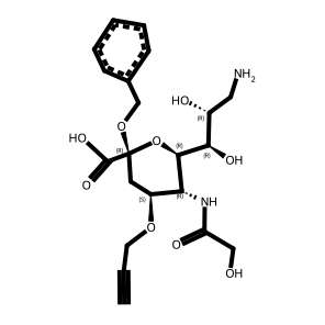 C#CCO[C@H]1C[C@](OCc2ccccc2)(C(=O)O)O[C@@H]([C@H](O)[C@H](O)CN)[C@@H]1NC(=O)CO